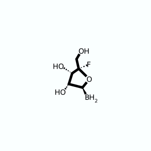 B[C@@H]1O[C@](F)(CO)[C@@H](O)[C@H]1O